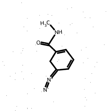 CNC(=O)C1=CC=CC(=[N+]=[N-])C1